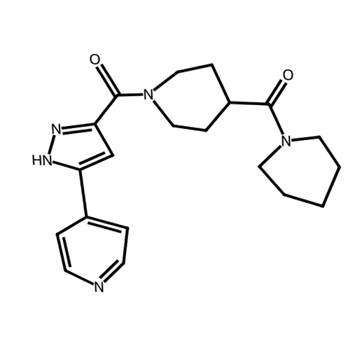 O=C(c1cc(-c2ccncc2)[nH]n1)N1CCC(C(=O)N2CCCCC2)CC1